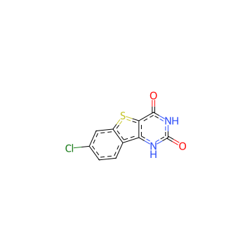 O=c1[nH]c(=O)c2sc3cc(Cl)ccc3c2[nH]1